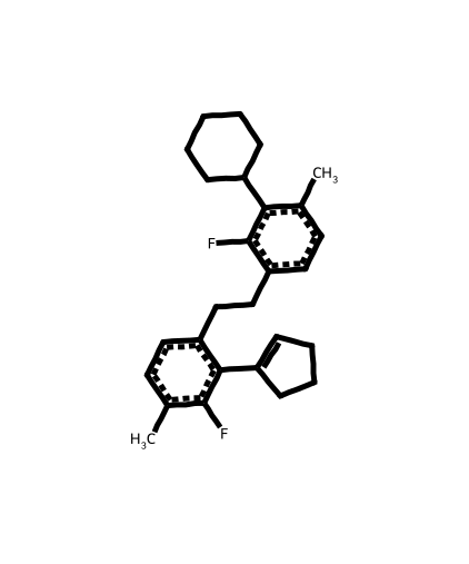 Cc1ccc(CCc2ccc(C)c(C3CCCCC3)c2F)c(C2=CCCC2)c1F